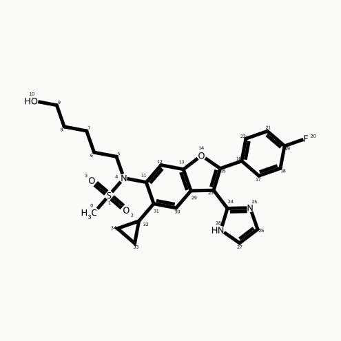 CS(=O)(=O)N(CCCCCO)c1cc2oc(-c3ccc(F)cc3)c(-c3ncc[nH]3)c2cc1C1CC1